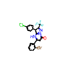 O=c1cc(-c2ccccc2Br)[nH]c2c(-c3ccc(Cl)cc3)c(C(F)(F)F)nn12